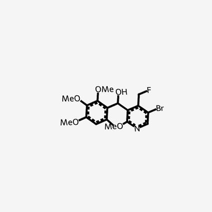 COc1cc(C)c(C(O)c2c(OC)ncc(Br)c2CF)c(OC)c1OC